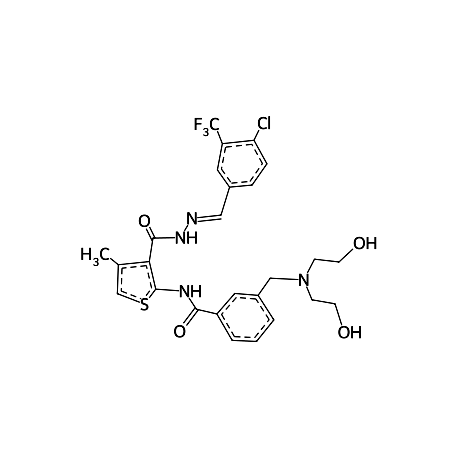 Cc1csc(NC(=O)c2cccc(CN(CCO)CCO)c2)c1C(=O)NN=Cc1ccc(Cl)c(C(F)(F)F)c1